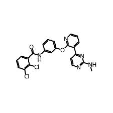 CNc1nccc(-c2cccnc2Oc2cccc(NC(=O)c3cccc(Cl)c3Cl)c2)n1